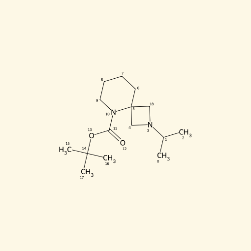 CC(C)N1CC2(CCCCN2C(=O)OC(C)(C)C)C1